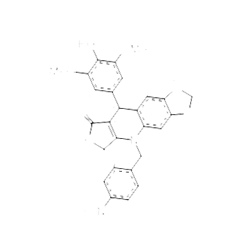 COc1cc(C2C3=C(COC3=O)N(Cc3ccc([N+](=O)[O-])cc3)c3cc4c(cc32)OCO4)cc(OC)c1O